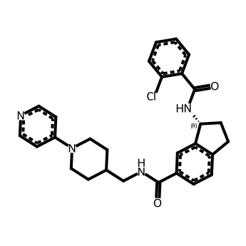 O=C(NCC1CCN(c2ccncc2)CC1)c1ccc2c(c1)[C@H](NC(=O)c1ccccc1Cl)CC2